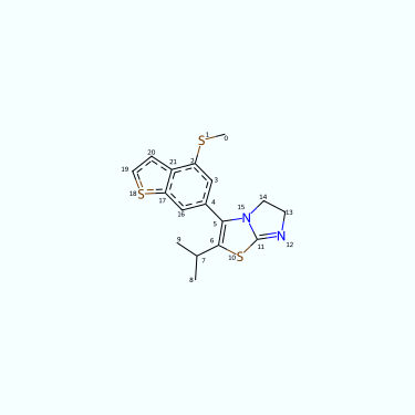 CSc1cc(C2=C(C(C)C)SC3=NCCN32)cc2sccc12